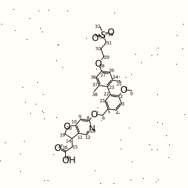 COc1ccc(COc2cc3c(cn2)C(CC(=O)O)CO3)cc1-c1c(C)cc(OCCCS(C)(=O)=O)cc1C